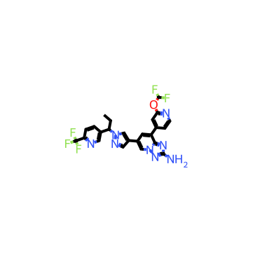 CCC(c1ccc(C(F)(F)F)nc1)n1cc(-c2cc(-c3ccnc(OC(F)F)c3)c3nc(N)nn3c2)cn1